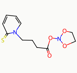 O=C(CCCn1ccccc1=S)ON1OCCO1